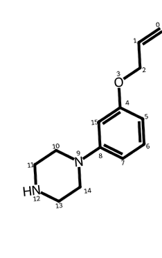 C=CCOc1cccc(N2CCNCC2)c1